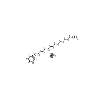 CCCCCCCCCCCCCCCC[n+]1ccccc1.N.[W]